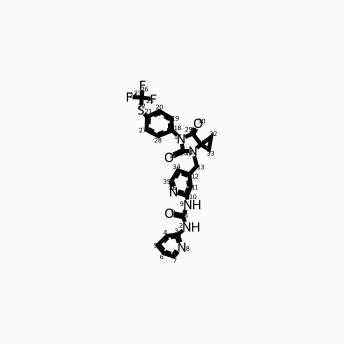 O=C(Nc1ccccn1)Nc1cc(CN2C(=O)N(c3ccc(SC(F)(F)F)cc3)C(=O)C23CC3)ccn1